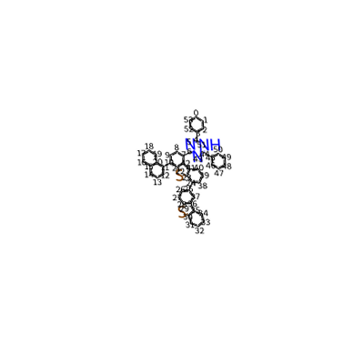 c1ccc(C2=NC(c3ccc(-c4cccc5ccccc45)c4sc5c(-c6ccc7sc8ccccc8c7c6)cccc5c34)=NC(c3ccccc3)N2)cc1